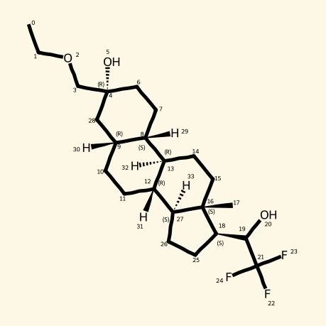 CCOC[C@@]1(O)CC[C@H]2[C@H](CC[C@@H]3[C@@H]2CC[C@]2(C)[C@@H](C(O)C(F)(F)F)CC[C@@H]32)C1